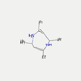 CCC1=CC(C(C)C)NC(C(C)C)=CC(C(C)C)N1